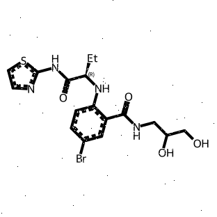 CC[C@@H](Nc1ccc(Br)cc1C(=O)NCC(O)CO)C(=O)Nc1nccs1